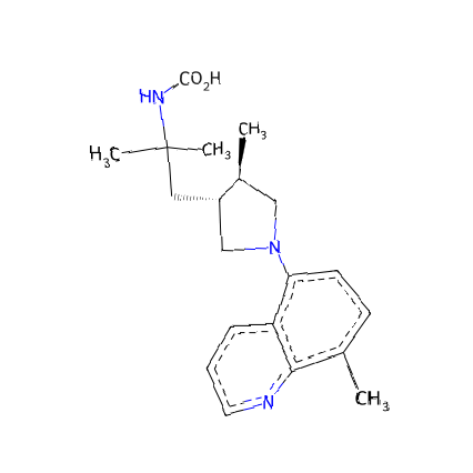 Cc1ccc(N2C[C@H](CC(C)(C)NC(=O)O)[C@@H](C)C2)c2cccnc12